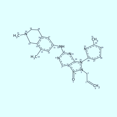 C=CCn1c(=O)c2cnc(Nc3cc(C)c4c(c3)CCN(C)C4)nc2n1-c1cccc(C)n1